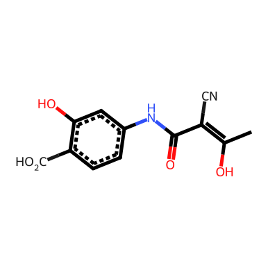 C/C(O)=C(\C#N)C(=O)Nc1ccc(C(=O)O)c(O)c1